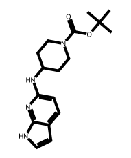 CC(C)(C)OC(=O)N1CCC(Nc2ccc3cc[nH]c3n2)CC1